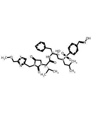 COCc1nc(CN2C(=O)CN([C@H](C(=O)N[C@@H](Cc3ccccc3)[C@H](O)CN(CC(C)C)S(=O)(=O)c3ccc(C=NO)cc3)C(C)C)C2=O)cs1